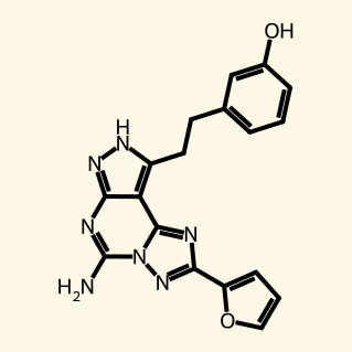 Nc1nc2n[nH]c(CCc3cccc(O)c3)c2c2nc(-c3ccco3)nn12